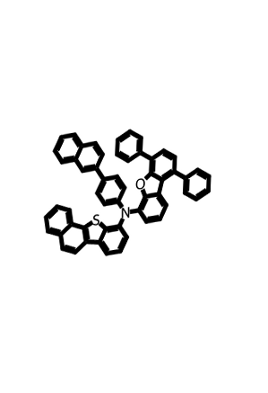 c1ccc(-c2ccc(-c3ccccc3)c3c2oc2c(N(c4ccc(-c5ccc6ccccc6c5)cc4)c4cccc5c4sc4c6ccccc6ccc54)cccc23)cc1